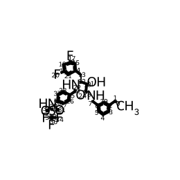 CCc1cccc(CNC[C@H](O)[C@H](Cc2cc(F)cc(F)c2)NC(=O)c2ccc(NS(=O)(=O)C(F)(F)F)cc2)c1